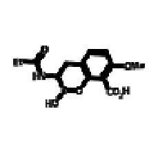 CCC(=O)NC1Cc2ccc(OC)c(C(=O)O)c2OB1O